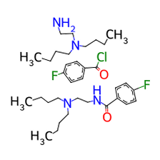 CCCCN(CCCC)CCNC(=O)c1ccc(F)cc1.CCCCN(CCN)CCCC.O=C(Cl)c1ccc(F)cc1